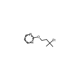 CCC(C)(C)CCOc1ncccn1